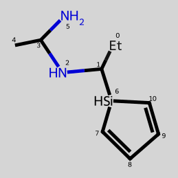 CCC(NC(C)N)[SiH]1C=CC=C1